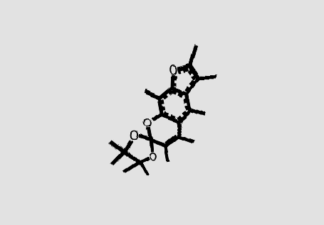 CC1=C(C)C2(Oc3c1c(C)c1c(C)c(C)oc1c3C)OC(C)(C)C(C)(C)O2